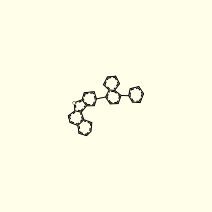 c1ccc(-c2ccc(-c3ccc4oc5ccc6ccccc6c5c4c3)c3ccccc23)cc1